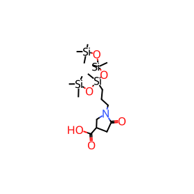 C[Si](C)(C)O[Si](C)(C)O[Si](C)(CCCN1CC(C(=O)O)CC1=O)O[Si](C)(C)C